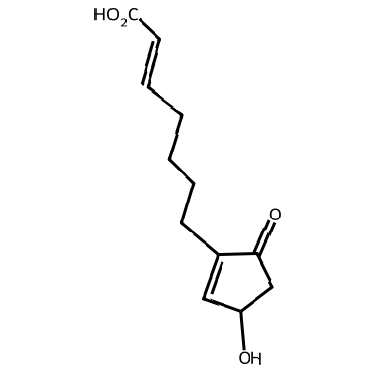 O=C(O)/C=C/CCCCC1=CC(O)CC1=O